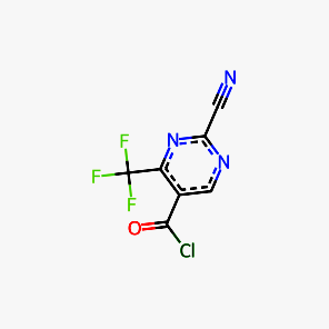 N#Cc1ncc(C(=O)Cl)c(C(F)(F)F)n1